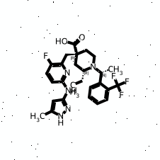 CC[C@@H]1C[C@](Cc2nc(Nc3cc(C)[nH]n3)ccc2F)(C(=O)O)CCN1[C@H](C)c1ccccc1C(F)(F)F